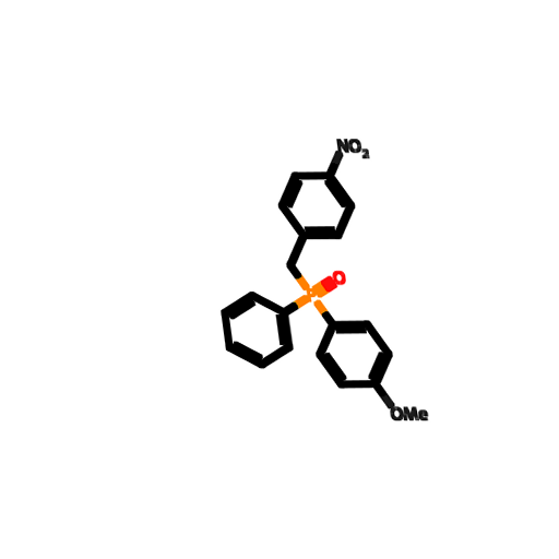 COc1ccc(P(=O)(Cc2ccc([N+](=O)[O-])cc2)c2ccccc2)cc1